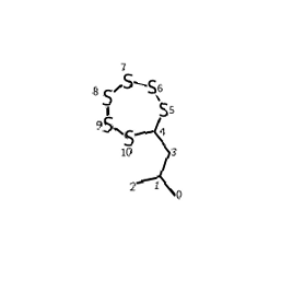 CC(C)CC1SSSSSS1